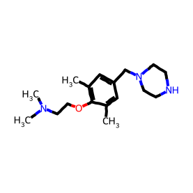 Cc1cc(CN2CCNCC2)cc(C)c1OCCN(C)C